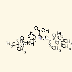 CSC(O/N=C(\C(=O)O)c1nsc(NC(=O)OC(C)(C)C)n1)C(=O)OC(C)(C)C